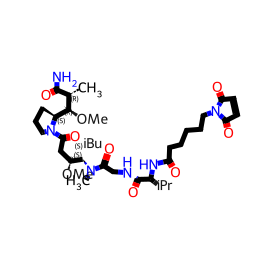 CC[C@H](C)[C@@H]([C@@H](CC(=O)N1CCC[C@H]1[C@H](OC)[C@@H](C)C(N)=O)OC)N(C)C(=O)CNC(=O)C(NC(=O)CCCCCN1C(=O)C=CC1=O)C(C)C